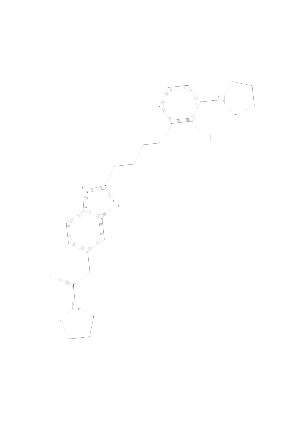 Cc1c(OCCCc2nc3ccc(CC(=O)N4CCCC4)cc3[nH]2)cccc1N1CCCC1